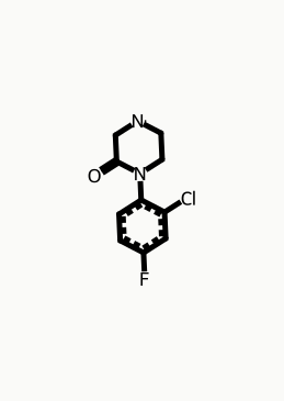 O=C1C[N]CCN1c1ccc(F)cc1Cl